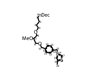 CCCCCCCCCCCCCCOCC(COCc1ccc(C[n+]2csc(C)c2)cc1)OC